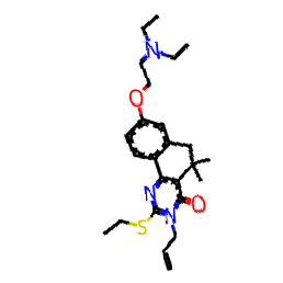 C=CCn1c(SCC)nc2c(c1=O)C(C)(C)Cc1cc(OCCN(CC)CC)ccc1-2